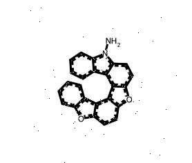 Nn1c2ccccc2c2c3c(ccc21)oc1ccc2oc4ccccc4c2c13